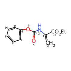 C=C(NC(=O)Oc1ccccc1)C(=O)OCC